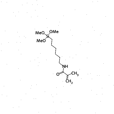 C=C(C)C(=O)NCCCCCC[Si](OC)(OC)OC